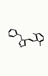 Cc1cccc(C)c1C=Cc1cncn1Cc1ccccc1